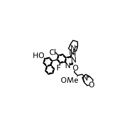 CO[C@H](COc1nc(N2CC3CCC(C2)N3)c2cc(Cl)c(-c3cc(O)cc4ccccc34)c(F)c2n1)CN1C2CCC1COC2